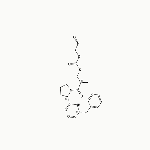 C[C@H](CSC(=O)OCN=O)C(=O)N1CCC[C@H]1C(=O)N[C@@H](C=O)Cc1ccccc1